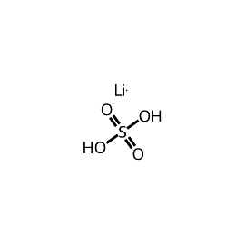 O=S(=O)(O)O.[Li]